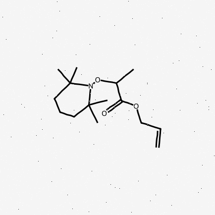 C=CCOC(=O)C(C)ON1C(C)(C)CCCC1(C)C